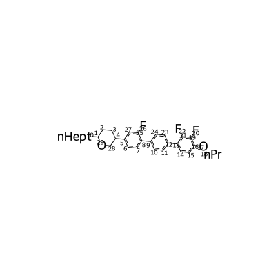 CCCCCCCC1CCC(c2ccc(-c3ccc(-c4ccc(OCCC)c(F)c4F)cc3)c(F)c2)CO1